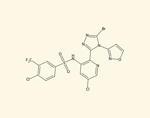 O=S(=O)(Nc1cc(Cl)cnc1-c1nnc(Br)n1-c1ccon1)c1ccc(Cl)c(C(F)(F)F)c1